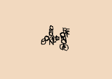 COC(=O)C1CCN(c2cc(C(F)(F)F)ccc2[C@@H]2C[C@@H](CC#N)N(C(=O)[C@@H]3CN(C4CCCC4)C[C@H]3c3ccc(OC)cc3)C2)CC1